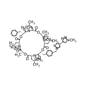 CC(C)C[C@H]1C(=O)O[C@H](Cc2ccc(Cn3cc(-c4cn(C)nn4)cn3)cc2)C(=O)N(C)[C@@H](CC(C)C)C(=O)O[C@H](C)C(=O)N(C)[C@@H](CC(C)C)C(=O)O[C@H](Cc2ccccc2)C(=O)N(C)[C@@H](CC(C)C)C(=O)O[C@H](C)C(=O)N1C